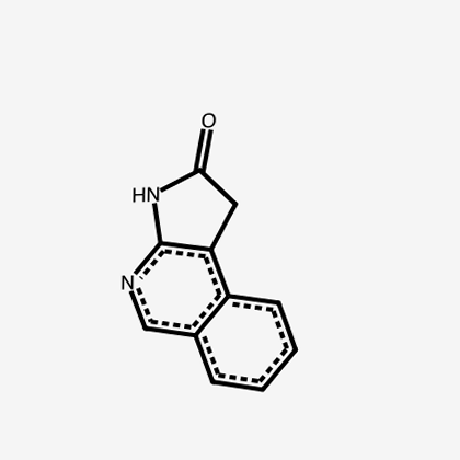 O=C1Cc2c(ncc3ccccc23)N1